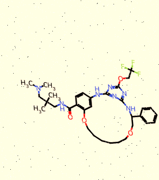 CN(C)CC(C)(C)CNC(=O)c1ccc2cc1OCCCCCCOCC(c1ccccc1)Nc1nc(nc(OCC(F)(F)F)n1)N2